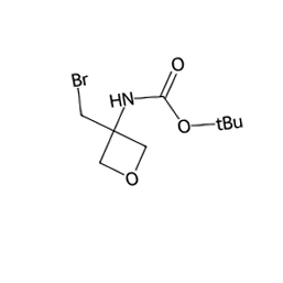 CC(C)(C)OC(=O)NC1(CBr)COC1